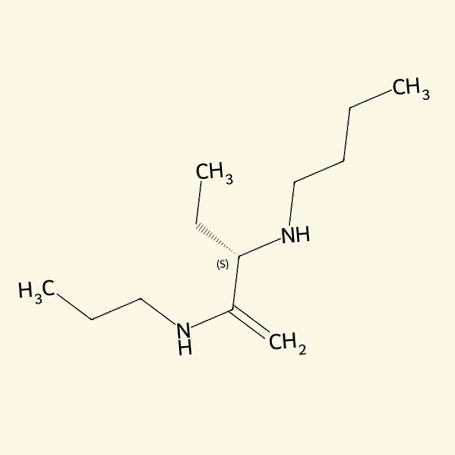 C=C(NCCC)[C@H](CC)NCCCC